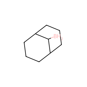 BC1C2CCCC1CCC2